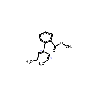 C/C=C\C(=C/CC)c1ccccc1C(=O)OC